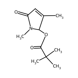 CC1=CC(=O)N(C)C1OC(=O)C(C)(C)C